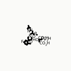 Cc1cnn(CC(CN2CCC3(CC2)OCc2ccc(F)cc23)C(=O)N(C)C)c1.O=C(O)CC(O)(CC(=O)O)C(=O)O